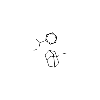 COC(C)c1ccccc1.COC12CC3CC(CC(C3)C1)C2